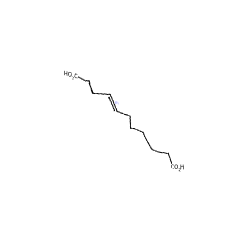 O=C(O)CC/C=C/CCCCCC(=O)O